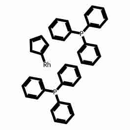 [Rh][C]1=CC=CC1.c1ccc(P(c2ccccc2)c2ccccc2)cc1.c1ccc(P(c2ccccc2)c2ccccc2)cc1